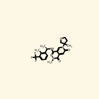 Cc1c([C@@H](C)Nc2nn(C)c(=O)c3cc(=O)n(C4(C)CCOC4)cc23)cccc1C(F)(F)F